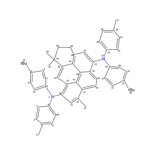 Cc1ccc(N(c2ccc(C(C)(C)C)cc2)c2cc(C)c3ccc4c(N(c5ccc(C)cc5)c5ccc(C(C)(C)C)cc5)cc5c6c(cc2c3c46)C(C)(C)CC5)cc1